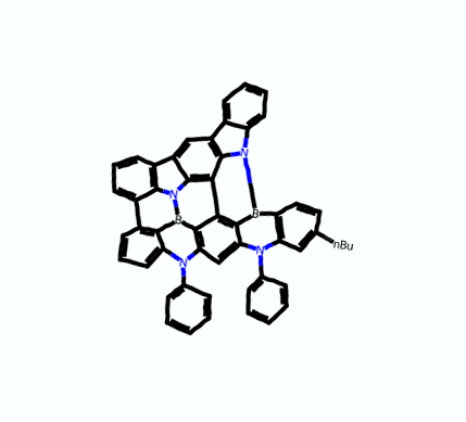 CCCCc1ccc2c(c1)N(c1ccccc1)c1cc3c4c5c1B2n1c2ccccc2c2cc6c7cccc8c7n(c6c-5c21)B4c1c-8cccc1N3c1ccccc1